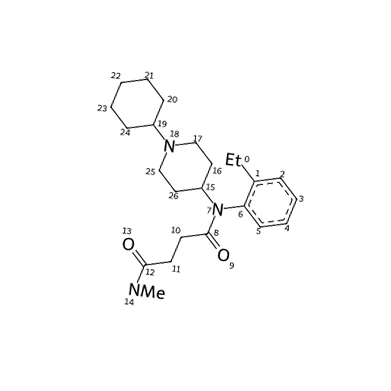 CCc1ccccc1N(C(=O)CCC(=O)NC)C1CCN(C2CCCCC2)CC1